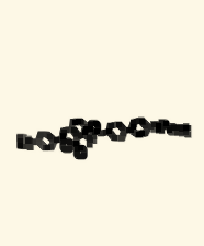 CCCCCc1ccc(C2CCC(COc3ccc4cc(C5CCC(CC)CC5)oc(=O)c4c3F)CC2)cc1